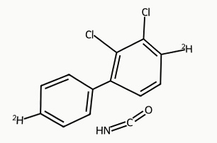 N=C=O.[2H]c1ccc(-c2ccc([2H])c(Cl)c2Cl)cc1